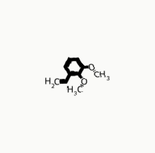 C=Cc1cccc(OC)c1OC